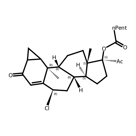 CCCCCC(=O)O[C@@]1(C(C)=O)CC[C@H]2[C@@H]3C[C@@H](Cl)C4=CC(=O)C5CC5[C@@]4(C)[C@@H]3CC[C@@]21C